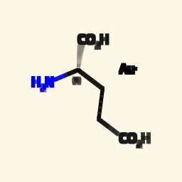 N[C@@H](CCC(=O)O)C(=O)O.[Au]